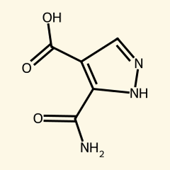 NC(=O)c1[nH]ncc1C(=O)O